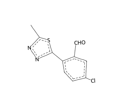 Cc1nnc(-c2ccc(Cl)cc2C=O)s1